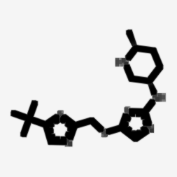 C[C@H]1CC[C@@H](Nc2ncc(SCc3ncc(C(C)(C)C)s3)s2)CN1